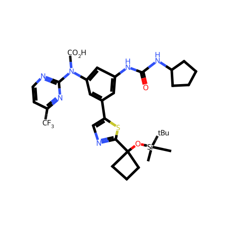 CC(C)(C)[Si](C)(C)OC1(c2ncc(-c3cc(NC(=O)NC4CCCC4)cc(N(C(=O)O)c4nccc(C(F)(F)F)n4)c3)s2)CCC1